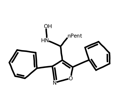 CCCCCC(NO)c1c(-c2ccccc2)noc1-c1ccccc1